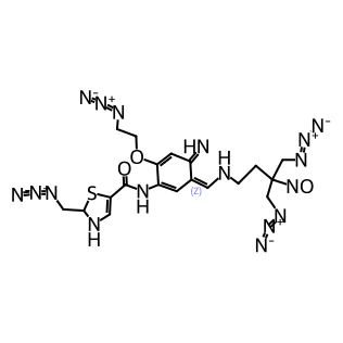 [N-]=[N+]=NCCOC1=CC(=N)/C(=C\NCCC(CN=[N+]=[N-])(CN=[N+]=[N-])N=O)C=C1NC(=O)C1=CNC(CN=[N+]=[N-])S1